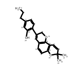 CCCc1ccc(C2=Cc3ccc4c(c3OC2)C=CC(C)(C)O4)c(O)c1